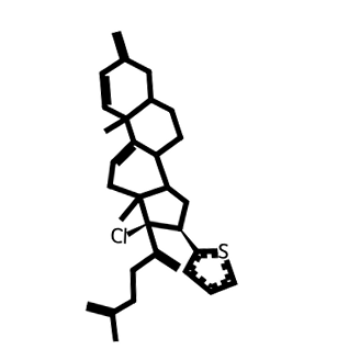 C=C(C)CCC(=C)[C@@]1(Cl)[C@H](c2cccs2)CC2C3CCC4CC(=C)C=CC4(C)C3=CCC21C